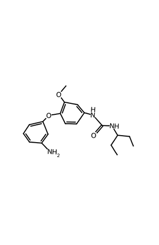 CCC(CC)NC(=O)Nc1ccc(Oc2cccc(N)c2)c(OC)c1